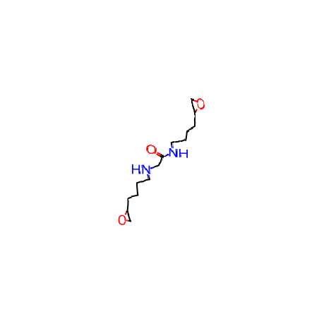 O=C(CNCCCCC1CO1)NCCCCC1CO1